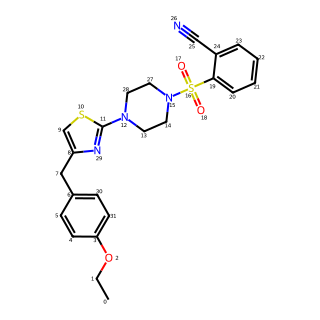 CCOc1ccc(Cc2csc(N3CCN(S(=O)(=O)c4ccccc4C#N)CC3)n2)cc1